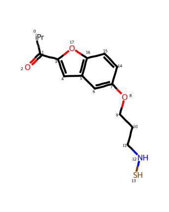 CC(C)C(=O)c1cc2cc(OCCCNS)ccc2o1